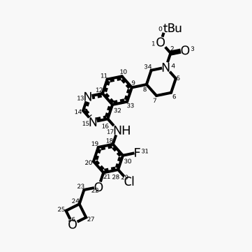 CC(C)(C)OC(=O)N1CCCC(c2ccc3ncnc(Nc4ccc(OCC5COC5)c(Cl)c4F)c3c2)C1